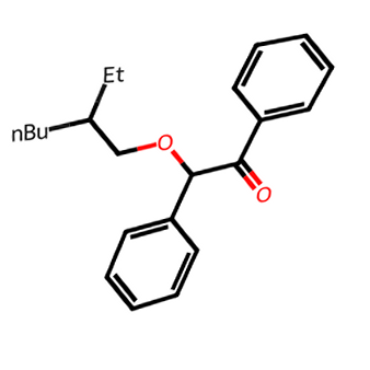 CCCCC(CC)COC(C(=O)c1ccccc1)c1ccccc1